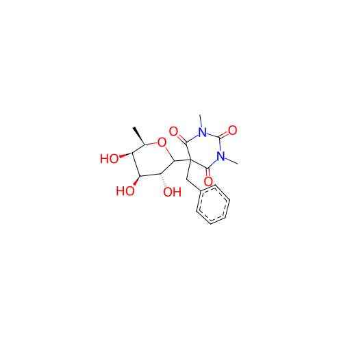 C[C@H]1OC(C2(Cc3ccccc3)C(=O)N(C)C(=O)N(C)C2=O)[C@H](O)[C@@H](O)[C@H]1O